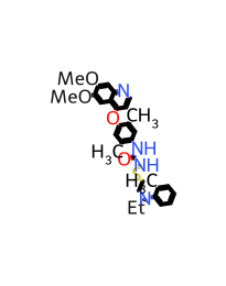 CCN(CCSNC(=O)Nc1cc(C)c(Oc2ccnc3cc(OC)c(OC)cc23)cc1C)c1ccccc1C